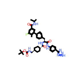 Cc1c(F)cc(C(=O)NC(C)C)cc1-c1ccc(C[C@H](NC(=O)[C@H]2CC[C@H](CNC(=O)OC(C)(C)C)CC2)C(=O)Nc2ccc(-c3nn[nH]n3)cc2)cc1